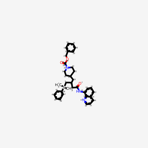 C[Si](C)(CC(CC(=O)Nc1cccc2cccnc12)CC1CCN(C(=O)OCc2ccccc2)CC1)c1ccccc1